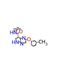 CCCNC(=O)c1c[nH]c2ncc(Oc3cccc(C)c3)nc12